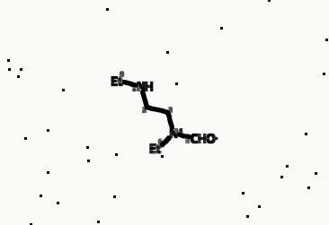 CCNCCN([C]=O)CC